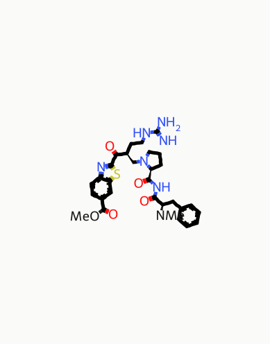 CN[C@H](Cc1ccccc1)C(=O)NC(=O)[C@@H]1CCCN1C[C@H](CCNC(=N)N)C(=O)c1nc2ccc(C(=O)OC)cc2s1